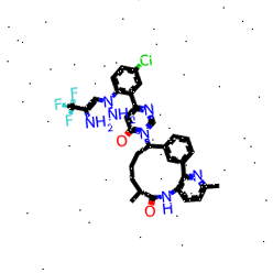 Cc1ccc2c(n1)-c1cccc(c1)C(n1cnc(-c3cc(Cl)ccc3N(N)/C=C(\N)C(F)(F)F)cc1=O)CCCC(C)C(=O)N2